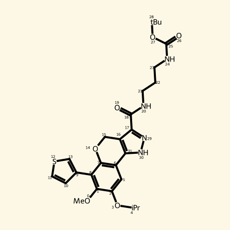 COc1c(OC(C)C)cc2c(c1-c1ccsc1)OCc1c(C(=O)NCCCNC(=O)OC(C)(C)C)n[nH]c1-2